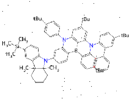 CC(C)(C)c1ccc(N2c3cc(N4c5ccc([Si](C)(C)C)cc5C5(C)CCCCC45C)ccc3B3c4ccc(C(C)(C)C)cc4N(c4ccc(C(C)(C)C)cc4-c4ccccc4)c4cc(C(C)(C)C)cc2c43)cc1